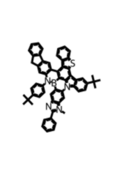 Cn1c(-c2ccccc2)nc2cc3c(cc21)-n1c2ccc(C(C)(C)C)cc2c2c4sc5ccccc5c4c4c(c21)B3N(c1ccc(C(C)(C)C)cc1)c1cc2c(cc1-4)-c1ccccc1C2